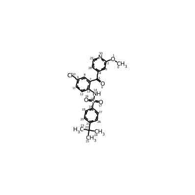 COc1cc(C(=O)c2cc(Cl)ccc2NS(=O)(=O)c2ccc(C(C)(C)C)cc2)ccn1